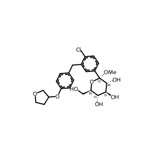 CO[C@@]1(c2ccc(Cl)c(Cc3ccc(OC4CCOC4)cc3)c2)O[C@H](CO)[C@@H](O)[C@H](O)[C@H]1O